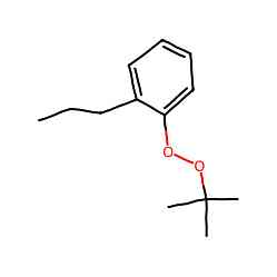 CCCc1ccccc1OOC(C)(C)C